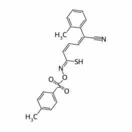 Cc1ccc(S(=O)(=O)ON=C(S)/C=C\C=C(\C#N)c2ccccc2C)cc1